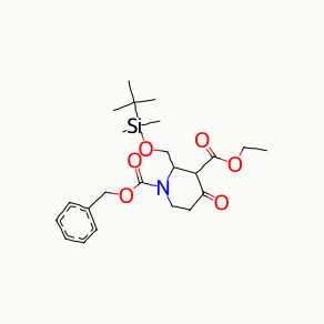 CCOC(=O)C1C(=O)CCN(C(=O)OCc2ccccc2)C1CO[Si](C)(C)C(C)(C)C